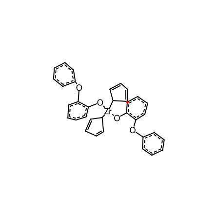 C1=C[CH]([Zr]([O]c2ccccc2Oc2ccccc2)([O]c2ccccc2Oc2ccccc2)[CH]2C=CC=C2)C=C1